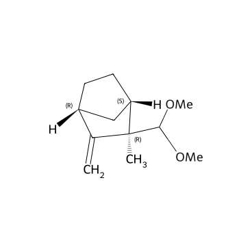 C=C1[C@@H]2CC[C@@H](C2)[C@@]1(C)C(OC)OC